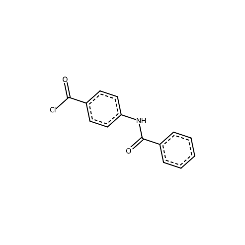 O=C(Cl)c1ccc(NC(=O)c2ccccc2)cc1